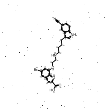 N#Cc1ccc2[nH]cc(CCCCNCCOc3cc(Br)cc4cc(C(=O)O)oc34)c2c1